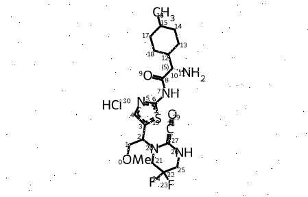 COCC(c1cnc(NC(=O)[C@@H](N)C2CCC(C)CC2)s1)N1CC(F)(F)CNC1=C=O.Cl